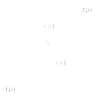 NCCC[Si](O)(O)C1CC1N